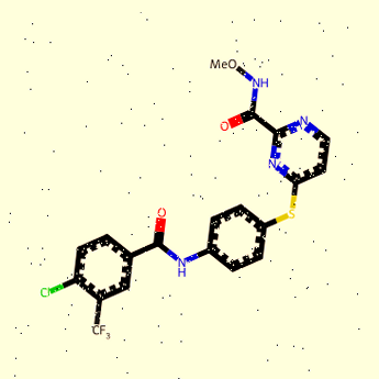 CONC(=O)c1nccc(Sc2ccc(NC(=O)c3ccc(Cl)c(C(F)(F)F)c3)cc2)n1